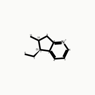 CC[C@@H]1c2cccnc2CC1C